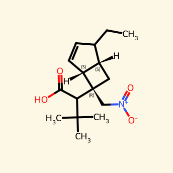 CCC1C=C[C@@H]2[C@H]1C[C@]2(C[N+](=O)[O-])C(C(=O)O)C(C)(C)C